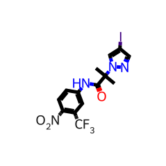 CC(C)(C(=O)Nc1ccc([N+](=O)[O-])c(C(F)(F)F)c1)n1cc(I)cn1